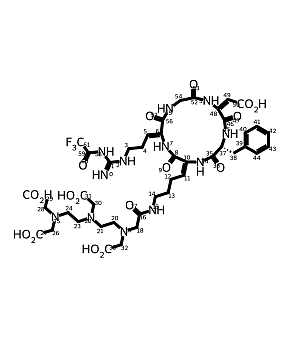 N=C(NCC/C=C1\NC(=O)/C(=C\CCCNC(=O)CN(CCN(CCN(CC(=O)O)CC(=O)O)CC(=O)O)CC(=O)O)NC(=O)[C@@H](Cc2ccccc2)NC(=O)/C(=C\C(=O)O)NC(=O)CNC1=O)NC(=O)C(F)(F)F